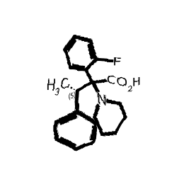 C[C@@H](c1ccccc1)C(C(=O)O)(c1ccccc1F)N1CCCCC1